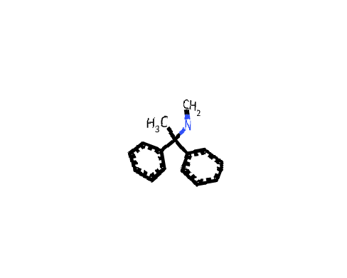 C=NC(C)(c1ccccc1)c1ccccc1